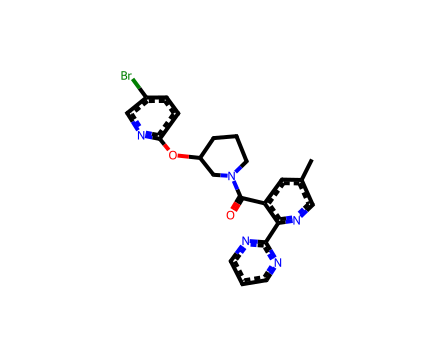 Cc1cnc(-c2ncccn2)c(C(=O)N2CCCC(Oc3ccc(Br)cn3)C2)c1